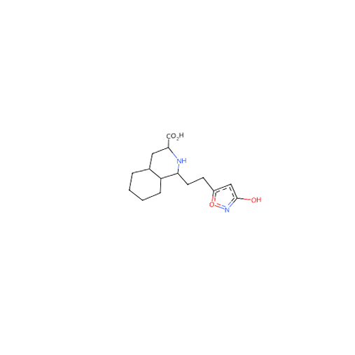 O=C(O)C1CC2CCCCC2C(CCc2cc(O)no2)N1